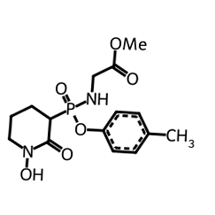 COC(=O)CNP(=O)(Oc1ccc(C)cc1)C1CCCN(O)C1=O